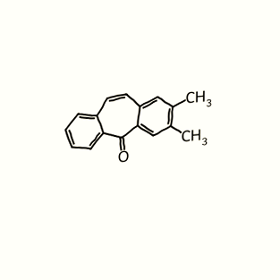 Cc1cc2ccc3ccccc3c(=O)c2cc1C